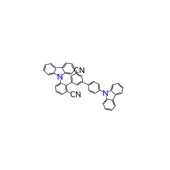 N#Cc1cc(-c2ccc(-n3c4ccccc4c4ccccc43)cc2)cc(-c2c(C#N)cccc2-n2c3ccccc3c3ccccc32)c1